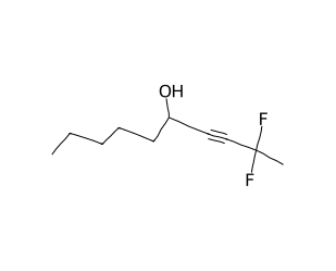 CCCCCC(O)C#CC(C)(F)F